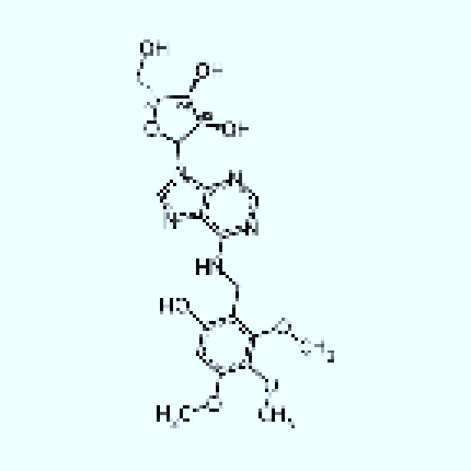 COc1cc(O)c(CNc2ncnc3c2ncn3C2O[C@H](CO)[C@@H](O)[C@H]2O)c(OC)c1OC